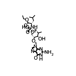 CCOC(=O)[C@H](CC(C)C)NP(=O)(O)OC[C@@H](OCn1cnc2c(=O)[nH]c(N)nc21)[C@H](O)C(C)F